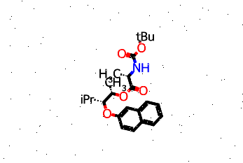 CC(C)[C@@H](Oc1ccc2ccccc2c1)[C@H](C)OC(=O)[C@H](C)NC(=O)OC(C)(C)C